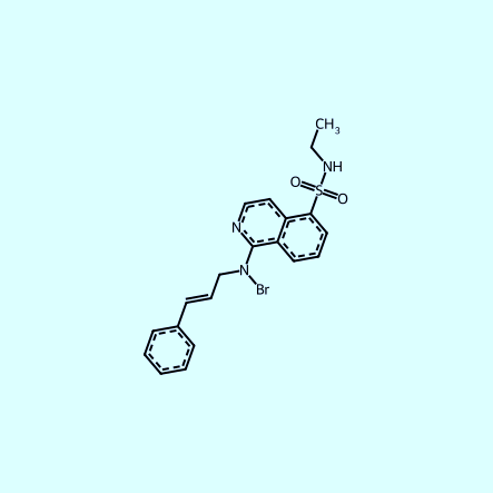 CCNS(=O)(=O)c1cccc2c(N(Br)CC=Cc3ccccc3)nccc12